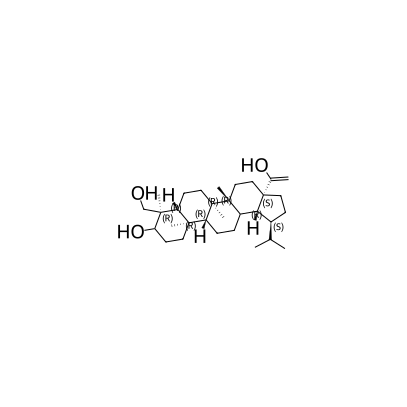 C=C(O)[C@]12CC[C@@H](C(C)C)[C@@H]1C1CC[C@@H]3[C@@]4(C)CCC(O)[C@@](C)(CO)[C@@H]4CC[C@@]3(C)[C@]1(C)CC2